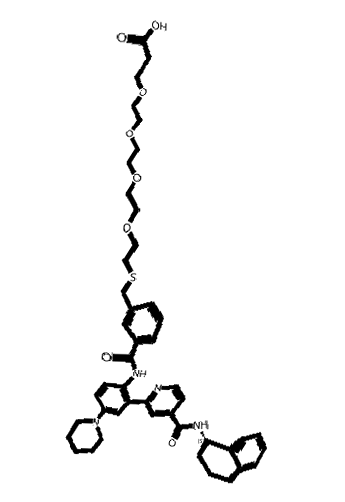 O=C(O)CCOCCOCCOCCOCCSCc1cccc(C(=O)Nc2ccc(N3CCCCC3)cc2-c2cc(C(=O)N[C@H]3CCCc4ccccc43)ccn2)c1